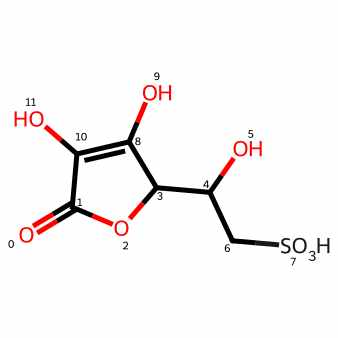 O=C1OC(C(O)CS(=O)(=O)O)C(O)=C1O